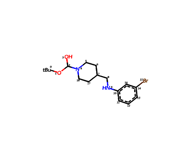 CC(C)(C)OC(O)N1CCC(CNc2cccc(Br)c2)CC1